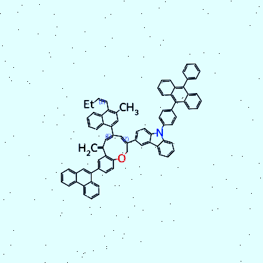 C=C1/C=C(c2cc(C)c(/C=C\CC)c3ccccc23)\C=C(\c2ccc3c(c2)c2ccccc2n3-c2ccc(-c3c4ccccc4c(-c4ccccc4)c4ccccc34)cc2)COc2ccc(-c3cc4ccccc4c4ccccc34)cc21